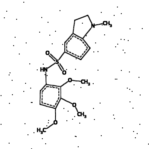 COc1ccc(NS(=O)(=O)c2ccc3c(c2)CCN3C)c(OC)c1OC